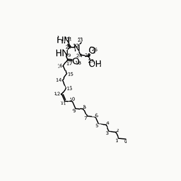 CCCCCCCCCCC/C=C\CCCCC(=O)NC(=N)N(C)CC(=O)O